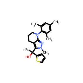 CCCC(O)(c1cccs1)c1c2c(nn1C)N(c1c(C)cc(C)cc1C)CCC2